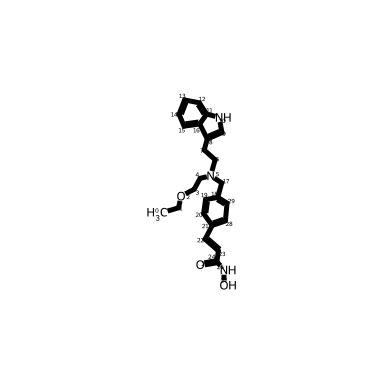 CCOCCN(CCc1c[nH]c2ccccc12)Cc1ccc(/C=C/C(=O)NO)cc1